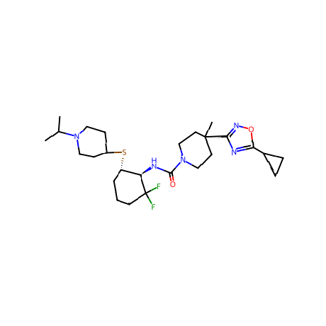 CC(C)N1CCC(S[C@H]2CCCC(F)(F)[C@@H]2NC(=O)N2CCC(C)(c3noc(C4CC4)n3)CC2)CC1